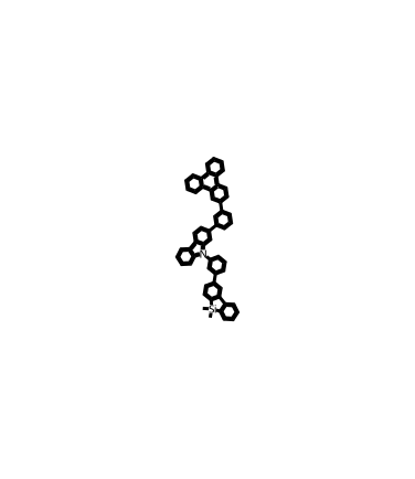 C[Si]1(C)c2ccccc2-c2cc(-c3cccc(-n4c5ccccc5c5ccc(-c6cccc(-c7ccc8c9ccccc9c9ccccc9c8c7)c6)cc54)c3)ccc21